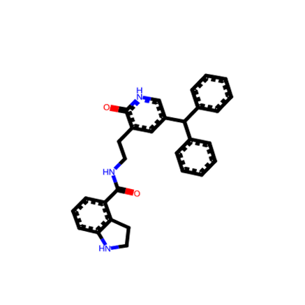 O=C(NCCc1cc(C(c2ccccc2)c2ccccc2)c[nH]c1=O)c1cccc2c1CCN2